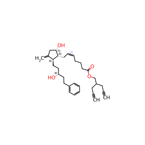 C#CCC(CC#C)COC(=O)CCC/C=C\C[C@H]1[C@@H](O)CC(=C)[C@@H]1CC[C@@H](O)CCc1ccccc1